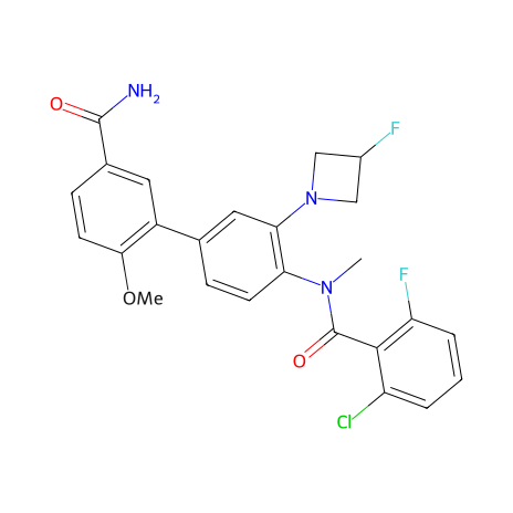 COc1ccc(C(N)=O)cc1-c1ccc(N(C)C(=O)c2c(F)cccc2Cl)c(N2CC(F)C2)c1